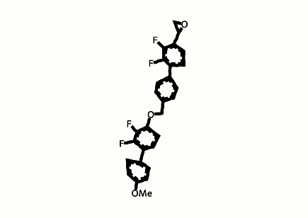 COc1ccc(-c2ccc(OCc3ccc(-c4ccc(C5CO5)c(F)c4F)cc3)c(F)c2F)cc1